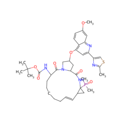 COc1ccc2c(OC3CC4C(=O)NC5(P(C)(C)=O)CC5/C=C/CCCCCC(NC(=O)OC(C)(C)C)C(=O)N4C3)cc(-c3csc(C)n3)nc2c1